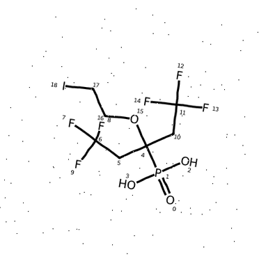 O=P(O)(O)C(CC(F)(F)F)(CC(F)(F)F)OCCI